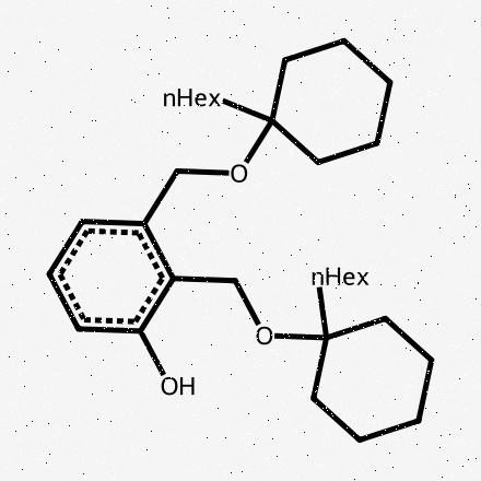 CCCCCCC1(OCc2cccc(O)c2COC2(CCCCCC)CCCCC2)CCCCC1